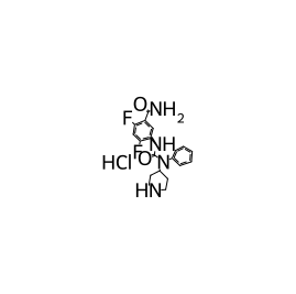 Cl.NC(=O)c1cc(NC(=O)N(c2ccccc2)C2CCNCC2)c(F)cc1F